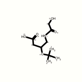 CC(C)(C)OC(CNC(=O)CO)CC(=O)O